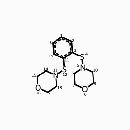 c1ccc(SN2CCOCC2)c(SN2CCOCC2)c1